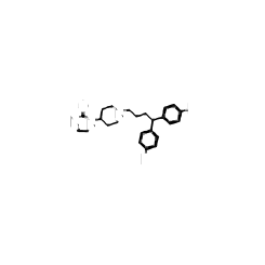 O=C1N=[C]CN1C1CCN(CCCC(c2ccc(F)cc2)c2ccc(F)cc2)CC1